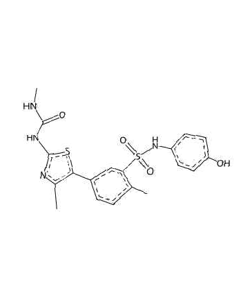 CNC(=O)Nc1nc(C)c(-c2ccc(C)c(S(=O)(=O)Nc3ccc(O)cc3)c2)s1